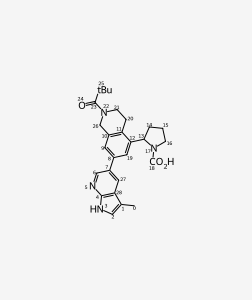 Cc1c[nH]c2ncc(-c3cc4c(c(C5CCCN5C(=O)O)c3)CCN(C(=O)C(C)(C)C)C4)cc12